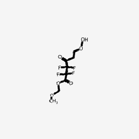 COCOC(=O)C(F)(F)C(F)(F)C(=O)CCOO